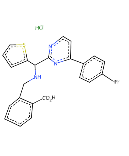 CC(C)c1ccc(-c2ccnc(C(NCc3ccccc3C(=O)O)c3cccs3)n2)cc1.Cl